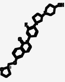 O=c1c2ccc(OC[C@H]3CCCO3)cc2ccn1-c1ccc(N2CCC(N3CCC(O)CC3)C2)c(F)c1